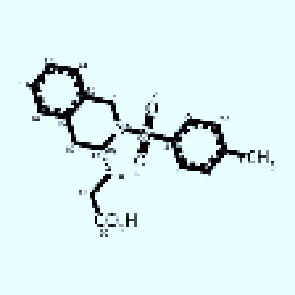 Cc1ccc(S(=O)(=O)N2Cc3ccccc3C[C@H]2CCC(=O)O)cc1